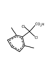 Cc1cccc(C)c1C(Cl)(Cl)C(=O)O